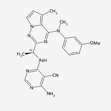 COc1cccc(N(C)c2nc([C@H](C)[AsH]c3ncnc(N)c3C#N)nn3ccc(C)c23)c1